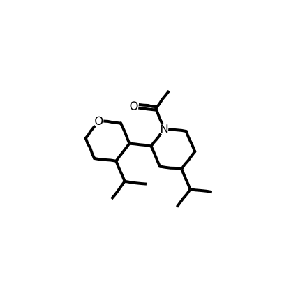 CC(=O)N1CCC(C(C)C)CC1C1COCCC1C(C)C